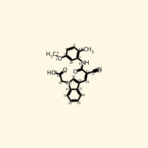 COc1ccc(C)c(NC(=O)C(C#N)=Cc2cn(CC(=O)O)c3ccccc23)c1